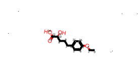 CCOc1ccc(CCC[C@H](O)C(=O)O)cc1